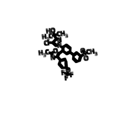 Cc1nc(-c2ccc(OC(F)(F)F)cc2)c(-c2cc(-c3cccc(S(C)(=O)=O)c3)ccc2-n2cc(Cl)c(C(C)(C)O)n2)o1